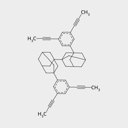 CC#Cc1cc(C#CC)cc(C23CC4CC(C2)CC(C25CC6CC(CC(c7cc(C#CC)cc(C#CC)c7)(C6)C2)C5)(C4)C3)c1